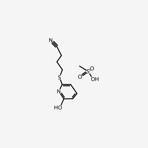 CS(=O)(=O)O.N#CCCCSc1cccc(O)n1